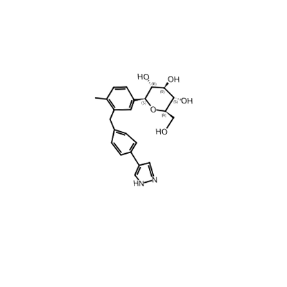 Cc1ccc([C@@H]2O[C@H](CO)[C@@H](O)[C@H](O)[C@H]2O)cc1Cc1ccc(-c2cn[nH]c2)cc1